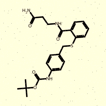 CC(C)(C)OC(=O)Nc1ccc(CSc2ccccc2C(=O)NCCC(N)=O)cc1